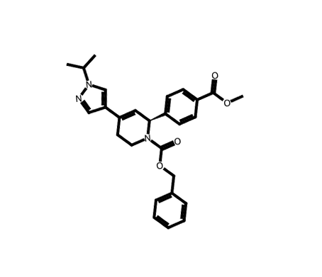 COC(=O)c1ccc([C@@H]2C=C(c3cnn(C(C)C)c3)CCN2C(=O)OCc2ccccc2)cc1